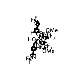 COC(=O)NC(C(=O)NC(Cc1ccc(-c2cnn(C(F)F)c2)cc1)C(O)CN(Cc1c(F)cc(-c2ccn(C(F)F)n2)cc1F)NC(=O)C(NC(=O)OC)C(C)(C)C(F)(F)F)C(C)(C)C(F)(F)F